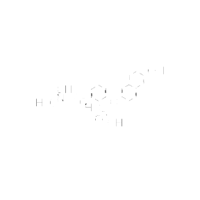 CN(C)CCOc1ccc(Cc2c(OCC(C)(C)O)ccc3cc(O)ccc23)cc1